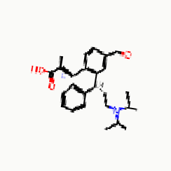 C/C(=C\c1ccc(C=O)cc1[C@H](CCN(C(C)C)C(C)C)c1ccccc1)C(=O)O